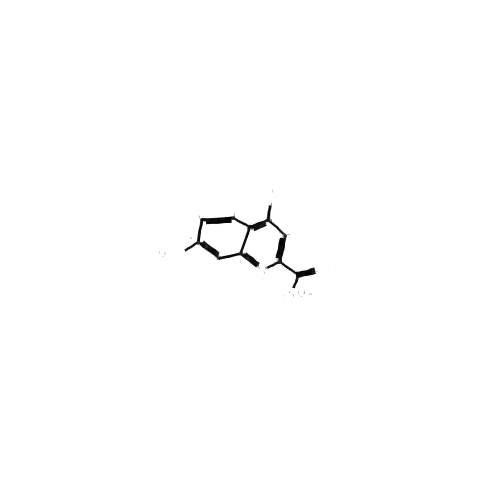 CNC(=O)c1cc(Cl)c2ccc(OC)cc2n1